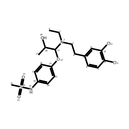 CCN(CCc1ccc(Cl)c(Cl)c1)C(Oc1ccc(NS(C)(=O)=O)cc1)C(C)O